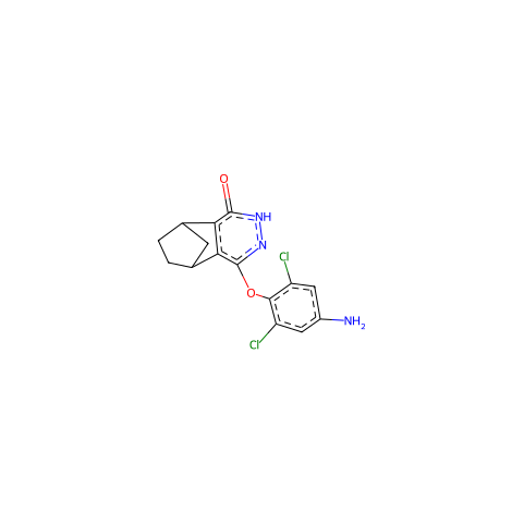 Nc1cc(Cl)c(Oc2n[nH]c(=O)c3c2C2CCC3C2)c(Cl)c1